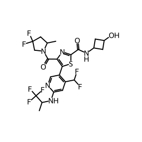 CC1CC(F)(F)CN1C(=O)c1nc(C(=O)NC2CC(O)C2)sc1-c1cnc(NC(C)C(F)(F)F)cc1C(F)F